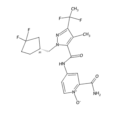 Cc1c(C(C)(F)F)nn(C[C@@H]2CCC(F)(F)C2)c1C(=O)Nc1cc[n+]([O-])c(C(N)=O)c1